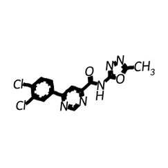 Cc1nnc(NC(=O)c2cc(-c3ccc(Cl)c(Cl)c3)ncn2)o1